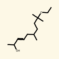 CCOC(C)(C)CCC(C)CC=CC(C)O